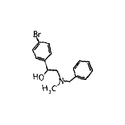 CN(Cc1ccccc1)CC(O)c1ccc(Br)cc1